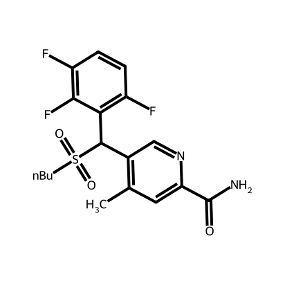 CCCCS(=O)(=O)C(c1cnc(C(N)=O)cc1C)c1c(F)ccc(F)c1F